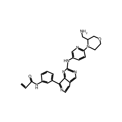 C=CC(=O)Nc1cccc(-c2nccc3cnc(Nc4ccc(N5CCOCC5CN)nc4)nc23)c1